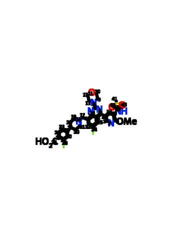 COc1ncc(-c2nc(N3CCOCC3)nc3c(CN4CCC(c5ccc(C(=O)O)c(F)c5)CC4)cc(F)cc23)cc1NS(C)(=O)=O